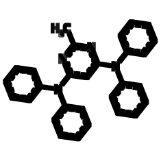 Cc1nc(N(c2ccccc2)c2ccccc2)cc(N(c2ccccc2)c2ccccc2)n1